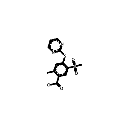 Cc1cc(Sc2ncccn2)c(S(C)(=O)=O)cc1C(=O)Cl